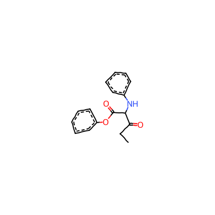 CCC(=O)C(Nc1ccccc1)C(=O)Oc1ccccc1